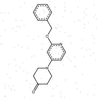 O=C1CCN(c2ccnc(OCc3ccccc3)c2)CC1